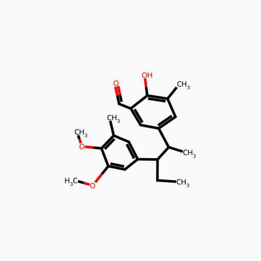 CCC(c1cc(C)c(OC)c(OC)c1)C(C)c1cc(C)c(O)c(C=O)c1